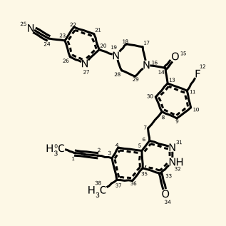 CC#Cc1cc2c(Cc3ccc(F)c(C(=O)N4CCN(c5ccc(C#N)cn5)CC4)c3)n[nH]c(=O)c2cc1C